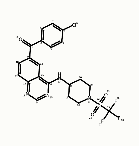 O=C(c1ccc(Cl)cc1)c1ccc2ncnc(NC3CCN(S(=O)(=O)C(F)(F)F)CC3)c2c1